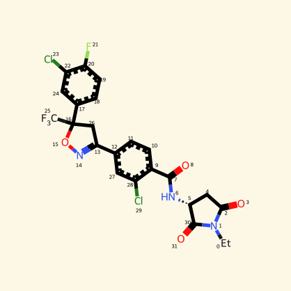 CCN1C(=O)C[C@@H](NC(=O)c2ccc(C3=NOC(c4ccc(F)c(Cl)c4)(C(F)(F)F)C3)cc2Cl)C1=O